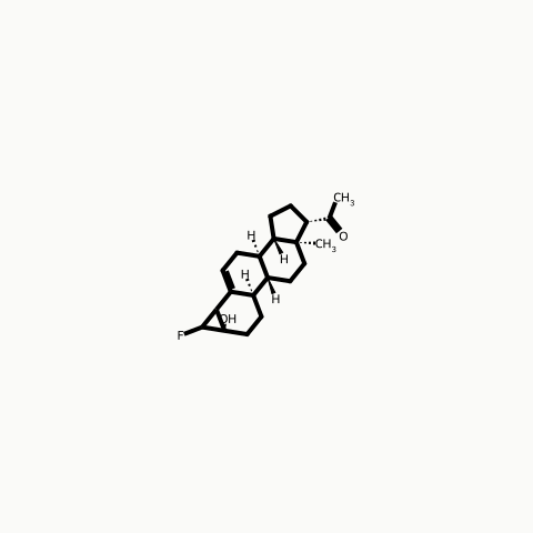 CC(=O)[C@H]1CC[C@H]2[C@@H]3CC=C4C5C(F)[C@@]5(O)CC[C@@H]4[C@H]3CC[C@]12C